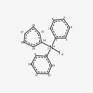 I[N+](c1ccccc1)(c1ccccc1)c1ccccc1